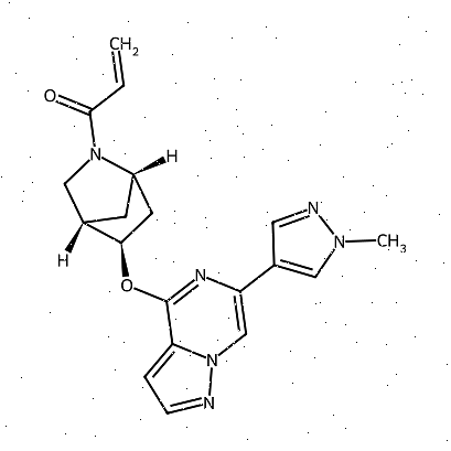 C=CC(=O)N1C[C@@H]2C[C@H]1C[C@H]2Oc1nc(-c2cnn(C)c2)cn2nccc12